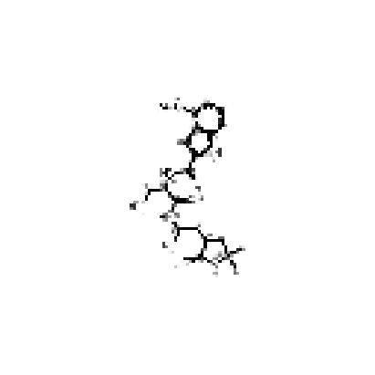 COc1cccc2[nH]c(C(=O)NC(CC(C)(C)C)C(=O)NC(C#N)CC3CC(C)(C)NC3=O)cc12